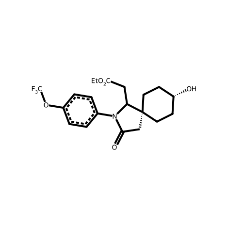 CCOC(=O)CC1N(c2ccc(OC(F)(F)F)cc2)C(=O)C[C@]12CC[C@@H](O)CC2